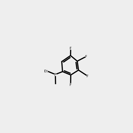 CCP(C)c1cc(F)c(F)c(F)c1F